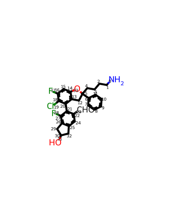 NCCCCC1(c2ccccc2)Cc2c(cc(F)c(Cl)c2-c2c(C=O)cc3c(c2F)CC(O)C3)O1